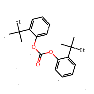 CCC(C)(C)c1ccccc1OC(=O)Oc1ccccc1C(C)(C)CC